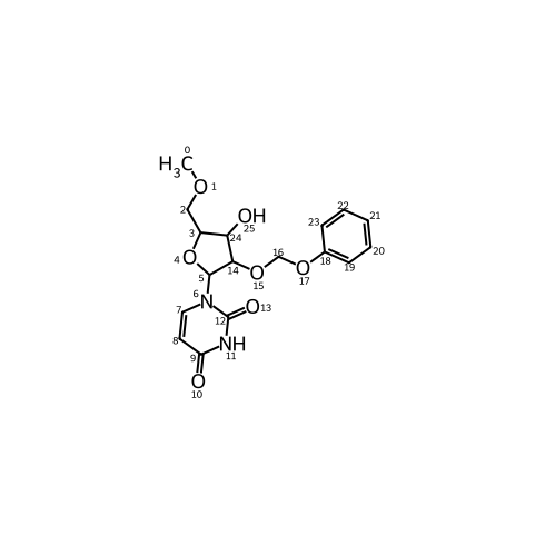 COCC1OC(n2ccc(=O)[nH]c2=O)C(OCOc2ccccc2)C1O